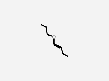 CCC=COCCC